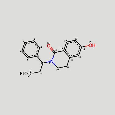 CCOC(=O)CC(c1ccccc1)N1CCc2cc(O)ccc2C1=O